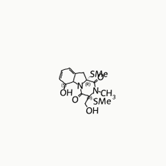 CS[C@]1(CO)C(=O)N2C3C(=CC=C[C@@H]3O)C[C@@]2(SC)C(=O)N1C